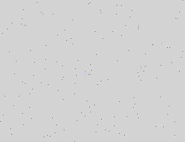 CCCC(C)(C)C1CN(C(=O)c2ccccc2)CCO1